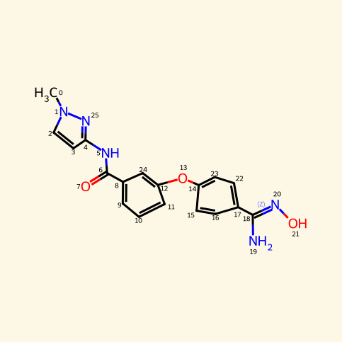 Cn1ccc(NC(=O)c2cccc(Oc3ccc(/C(N)=N/O)cc3)c2)n1